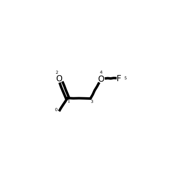 CC(=O)COF